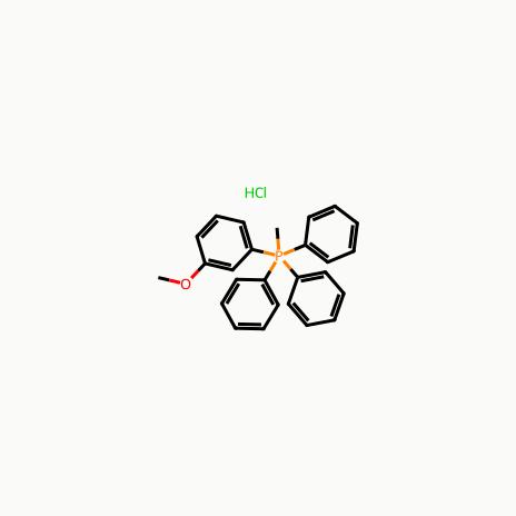 COc1cccc(P(C)(c2ccccc2)(c2ccccc2)c2ccccc2)c1.Cl